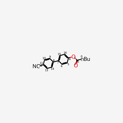 CCCCC(=O)Oc1ccc(-c2ccc(C#N)cc2)cc1